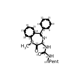 CCCCCNC(=O)NC1N=C(c2ccccc2)c2ccccc2N(C)C1=O